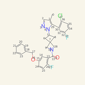 Cc1cnn(C2CC3(C2)CN(C(=O)c2cc(OCc4ccccc4)ccc2F)C3)c1-c1cc(F)ccc1Cl